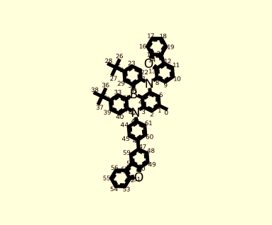 Cc1cc2c3c(c1)N(c1cccc4c1oc1ccccc14)c1ccc(C(C)(C)C)cc1B3c1cc(C(C)(C)C)ccc1N2c1ccc(-c2ccc3oc4ccccc4c3c2)cc1